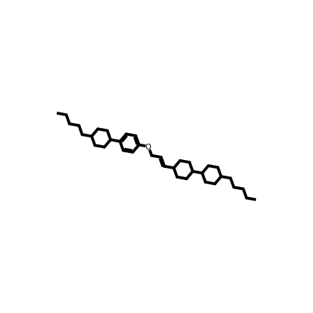 CCCCCC1CCC(c2ccc(OC/C=C/C3CCC(C4CCC(CCCCC)CC4)CC3)cc2)CC1